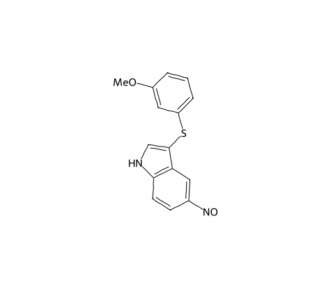 COc1cccc(Sc2c[nH]c3ccc(N=O)cc23)c1